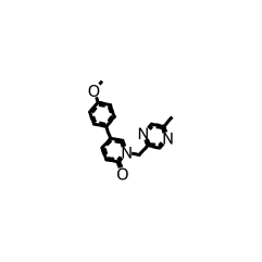 COc1ccc(-c2ccc(=O)n(Cc3cnc(C)cn3)c2)cc1